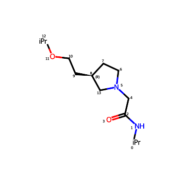 CC(C)NC(=O)CN1CC[C@H](CCOC(C)C)C1